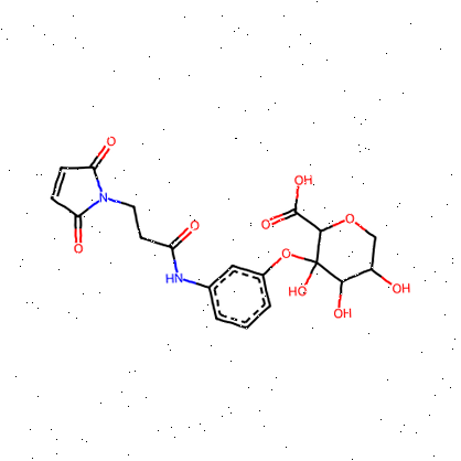 O=C(CCN1C(=O)C=CC1=O)Nc1cccc(OC2(O)C(C(=O)O)OCC(O)C2O)c1